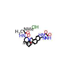 CNC(C)C(=O)NC1CCc2ccccc2N(Cc2c(OC)ccc3cc(-c4n[nH]c(=O)c(=O)[nH]4)ccc23)C1=O.Cl